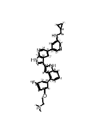 CN(C)CCOc1cc(F)cc(-c2cccc3[nH]c(-c4n[nH]c5ncc(-c6cncc(NCC7CC7)c6)cc45)cc23)c1